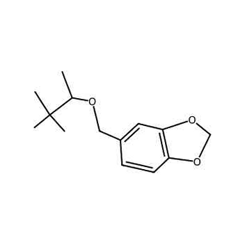 CC(OCc1ccc2c(c1)OCO2)C(C)(C)C